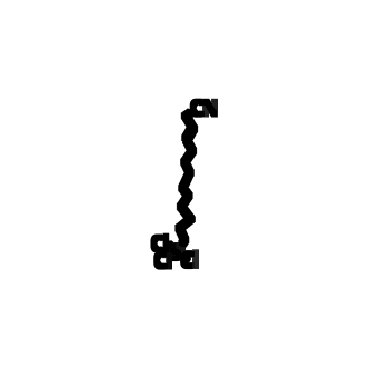 N#CC/C=C/CCCCCCCCC[Si](Cl)(Cl)Cl